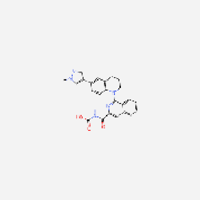 Cn1cc(-c2ccc3c(c2)CCCN3c2nc(C(=O)NC(=O)O)cc3ccccc23)cn1